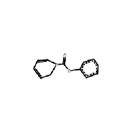 O=C(Oc1ccccc1)N1[C]=CC=CC1